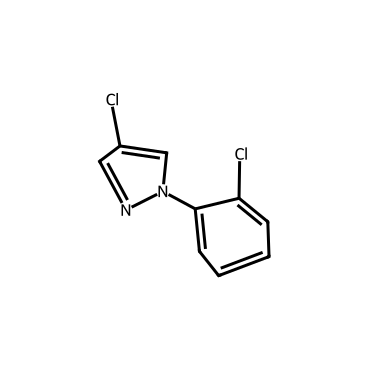 Clc1cnn(-c2ccccc2Cl)c1